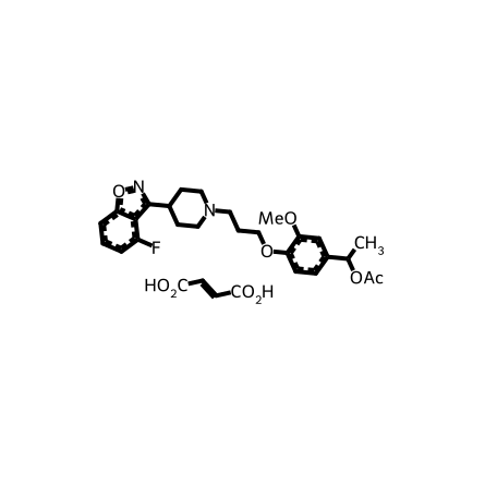 COc1cc(C(C)OC(C)=O)ccc1OCCCN1CCC(c2noc3cccc(F)c23)CC1.O=C(O)C=CC(=O)O